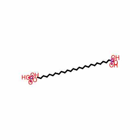 O=P(O)(O)CCCCCCCCCCCCCCCCCCCCCCCCCOP(=O)(O)O